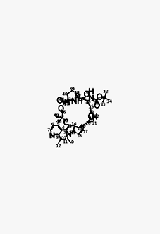 CCn1c(-c2cccnc2C(C)C)c2c3cc(ccc31)-c1cnc(o1)C[C@H](NC(=O)OC(C)(C)C)C(=O)N1CCC[C@H](N1)C(=O)OCC(C)(C)C2